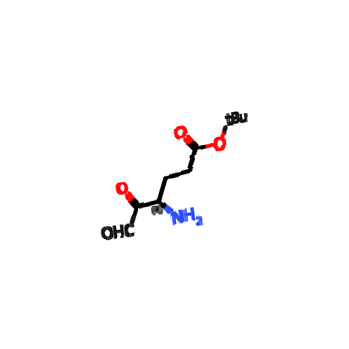 CC(C)(C)OC(=O)CC[C@@H](N)C(=O)C=O